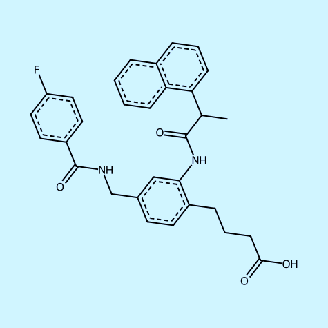 CC(C(=O)Nc1cc(CNC(=O)c2ccc(F)cc2)ccc1CCCC(=O)O)c1cccc2ccccc12